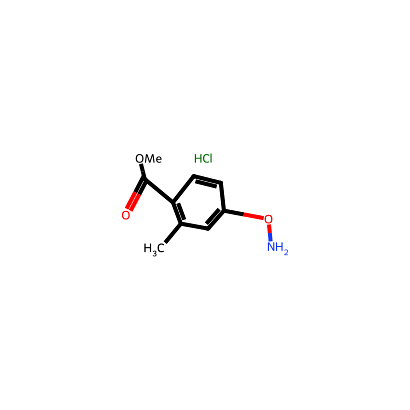 COC(=O)c1ccc(ON)cc1C.Cl